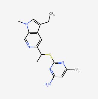 CC(Sc1nc(N)cc(C(F)(F)F)n1)c1cc2c(CC(F)(F)F)cn(C)c2cn1